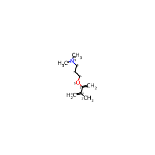 C=C(C)C(=C)OCCCN(C)C